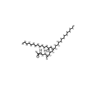 CCCCCCCCCCCCCCN(CCCN(C)CCNC(C)=O)CC(O)CCCCCCCCCCCC